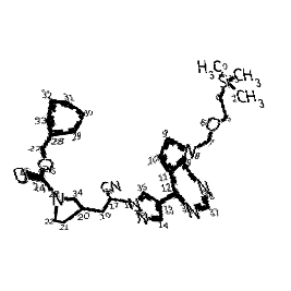 C[Si](C)(C)CCOCn1ccc2c(-c3cnn([C@H](C#N)CC4CCN(C(=O)OCc5ccccc5)C4)c3)ncnc21